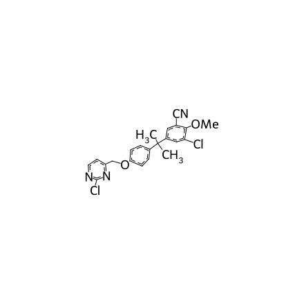 COc1c(Cl)cc(C(C)(C)c2ccc(OCc3ccnc(Cl)n3)cc2)cc1C#N